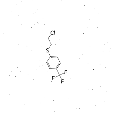 FC(F)(F)c1ccc(SCCCl)cc1